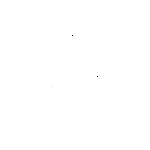 O=C1CCCCC1CN1CCc2cncc3cccc1c23